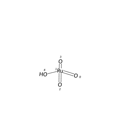 [O]=[Ru](=[O])(=[O])[OH]